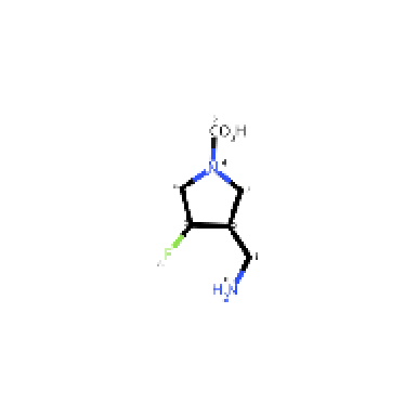 NCC1CN(C(=O)O)CC1F